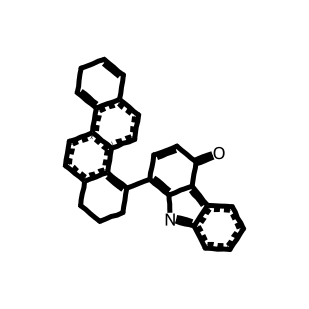 O=C1C=CC(C2=c3c(ccc4c5c(ccc34)C=CCC=5)CCC2)=C2N=c3ccccc3=C12